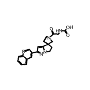 O=C(O)NCC(=O)N1CCC2(CCn3nc(-c4cnc5ccccc5c4)cc32)C1